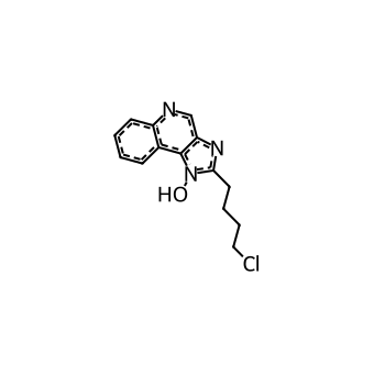 On1c(CCCCCl)nc2cnc3ccccc3c21